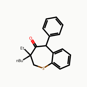 CCCCC1(CC)CSc2ccccc2C(c2ccccc2)C1=O